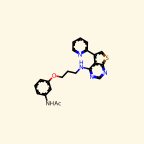 CC(=O)Nc1cccc(OCCCNc2ncnc3scc(-c4ccccn4)c23)c1